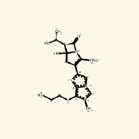 C[C@@H](O)[C@H]1C(=O)N2C(C(=O)[O-])=C(c3c[n+]4cn(C)c(SCCN)c4s3)C[C@H]12